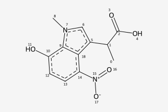 CC(C(=O)O)c1cn(C)c2c(O)ccc([N+](=O)[O-])c12